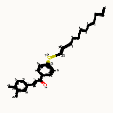 CCCCCCCCCCCCSc1ccc(C(=O)C=Cc2ccc(C)c(C)c2)cc1